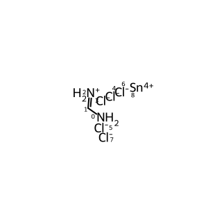 NC=[NH2+].[Cl-].[Cl-].[Cl-].[Cl-].[Cl-].[Sn+4]